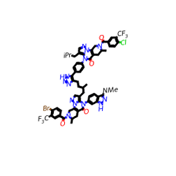 CNc1n[nH]c2cc(-n3c(=O)c4c(n5ncc(CC(C)CCc6nn[nH]c6-c6ccc(-n7c(=O)c8c(n9ncc(CC(C)C)c79)CN(C(=O)c7ccc(Cl)c(C(F)(F)F)c7)C(C)C8)cc6)c35)CN(C(=O)c3ccc(Br)c(C(F)(F)F)c3)C(C)C4)ccc12